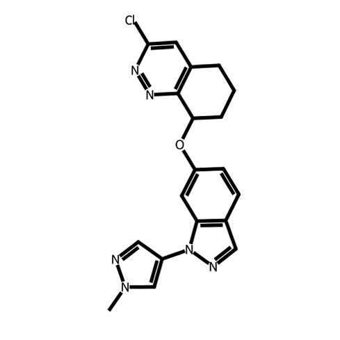 Cn1cc(-n2ncc3ccc(OC4CCCc5cc(Cl)nnc54)cc32)cn1